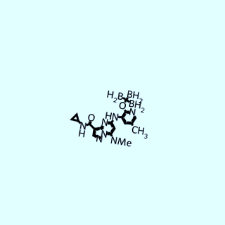 BC(B)(B)Oc1ncc(C)cc1Nc1cc(NC)n2ncc(C(=O)NC3CC3)c2n1